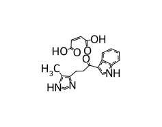 Cc1[nH]cnc1CCC(=O)c1c[nH]c2ccccc12.O=C(O)/C=C\C(=O)O